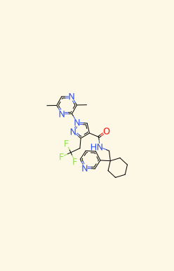 Cc1cnc(C)c(-n2cc(C(=O)NCC3(c4cccnc4)CCCCC3)c(CC(F)(F)F)n2)n1